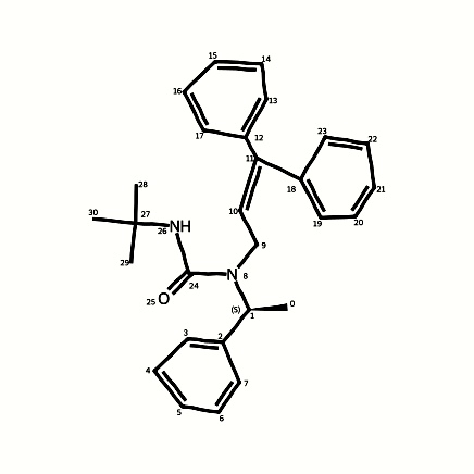 C[C@@H](c1ccccc1)N(CC=C(c1ccccc1)c1ccccc1)C(=O)NC(C)(C)C